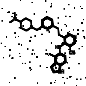 Cc1c(Nc2c(C#N)cncc2CCc2cccc(CN3CCC(N(C)C)CC3)n2)ccc2[nH]ccc12